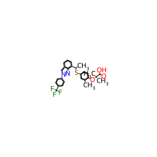 Cc1cc(SC(C)c2cccc3cn(-c4ccc(C(F)(F)F)cc4)nc23)ccc1OC(C)(C)C(=O)O